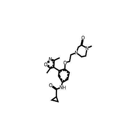 Cc1noc(C)c1-c1cc(NC(=O)C2CC2)ccc1OCCN1CCN(C)C(=O)C1